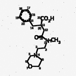 CN(CCN1CCOCC1)C(=O)C[C@@H](Cc1ccccc1)C(=O)O